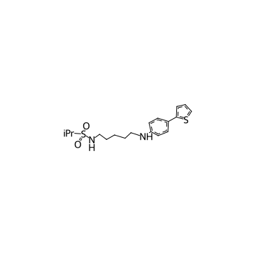 CC(C)S(=O)(=O)NCCCCCNc1ccc(-c2cccs2)cc1